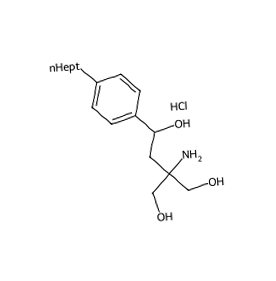 CCCCCCCc1ccc(C(O)CC(N)(CO)CO)cc1.Cl